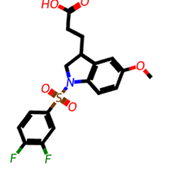 COc1ccc2c(c1)C(CCC(=O)O)CN2S(=O)(=O)c1ccc(F)c(F)c1